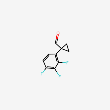 O=CC1(c2ccc(F)c(F)c2F)CC1